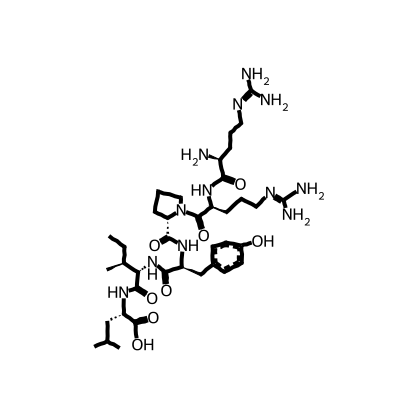 CC[C@H](C)[C@H](NC(=O)[C@H](Cc1ccc(O)cc1)NC(=O)[C@@H]1CCCN1C(=O)[C@H](CCCN=C(N)N)NC(=O)[C@@H](N)CCCN=C(N)N)C(=O)N[C@@H](CC(C)C)C(=O)O